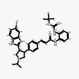 CC(C)N1CC(c2ccc(C=CC(=O)Nc3ccccc3NC(=O)OC(C)(C)C)cc2)C(c2nc3cc(F)ccc3[nH]2)C1